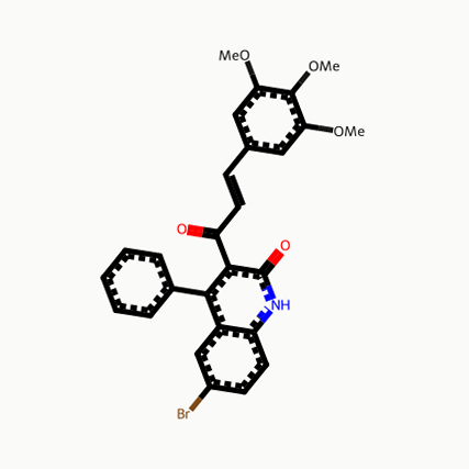 COc1cc(C=CC(=O)c2c(-c3ccccc3)c3cc(Br)ccc3[nH]c2=O)cc(OC)c1OC